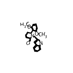 COc1cccc(OC)c1C1CCCC(C=O)N1Cc1cnc2ccccc2c1